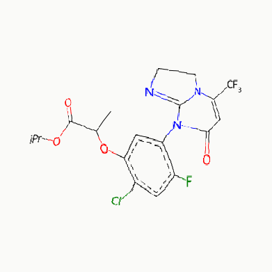 CC(C)OC(=O)C(C)Oc1cc(N2C(=O)C=C(C(F)(F)F)N3CCN=C32)c(F)cc1Cl